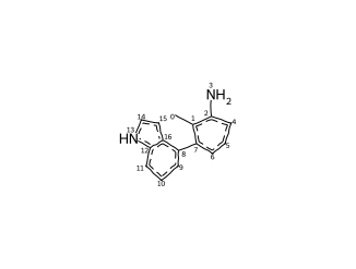 Cc1c(N)cccc1-c1cccc2[nH]ccc12